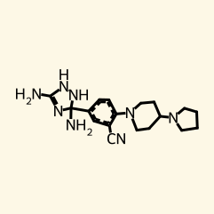 N#Cc1cc(C2(N)N=C(N)NN2)ccc1N1CCC(N2CCCC2)CC1